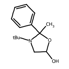 CC(C)(C)N1CC(O)OC1(C)c1ccccc1